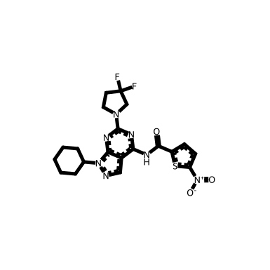 O=C(Nc1nc(N2CCC(F)(F)C2)nc2c1cnn2C1CCCCC1)c1ccc([N+](=O)[O-])s1